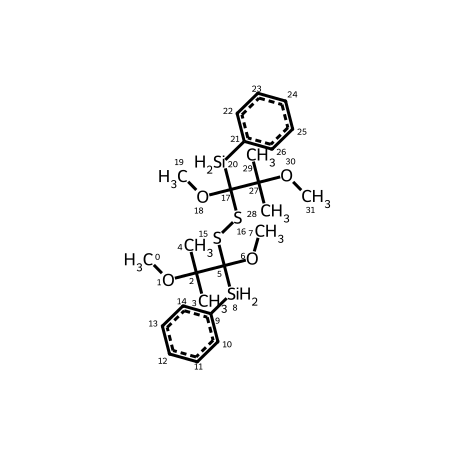 COC(C)(C)C(OC)([SiH2]c1ccccc1)SSC(OC)([SiH2]c1ccccc1)C(C)(C)OC